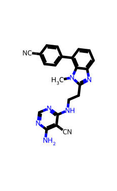 Cn1c(CCNc2ncnc(N)c2C#N)nc2cccc(-c3ccc(C#N)cc3)c21